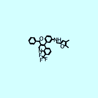 Cc1cc(CNc2cccc(-c3c(C(=O)c4ccccc4)cnc4c(C(F)(F)F)cccc34)c2)oc1C